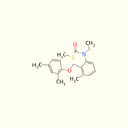 CCN(C(=O)SC)c1cccc(C)c1COc1ccc(C)cc1C